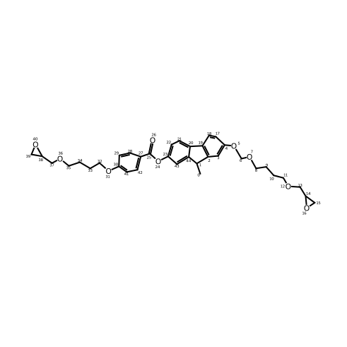 CC1c2cc(OCOCCCCOCC3CO3)ccc2-c2ccc(OC(=O)c3ccc(OCCCCOCC4CO4)cc3)cc21